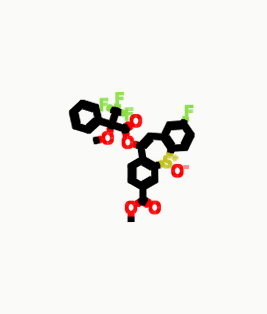 COC(=O)c1ccc2c(c1)[S+]([O-])c1ccc(F)cc1C=C2OC(=O)C(OC)(c1ccccc1)C(F)(F)F